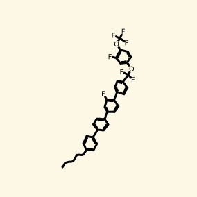 CCCCCc1ccc(-c2ccc(-c3ccc(-c4ccc(C(F)(F)Oc5ccc(OC(F)(F)F)c(F)c5)cc4)c(F)c3)cc2)cc1